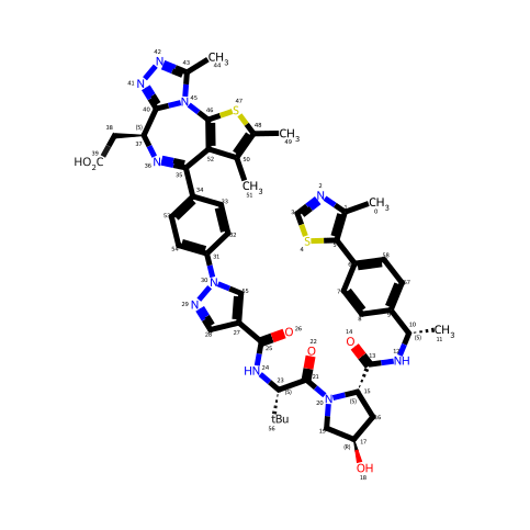 Cc1ncsc1-c1ccc([C@H](C)NC(=O)[C@@H]2C[C@@H](O)CN2C(=O)[C@@H](NC(=O)c2cnn(-c3ccc(C4=N[C@@H](CC(=O)O)c5nnc(C)n5-c5sc(C)c(C)c54)cc3)c2)C(C)(C)C)cc1